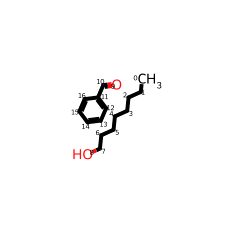 CCCCCCCCO.O=Cc1ccccc1